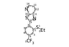 CCSc1cc(C(F)(F)F)ccc1-c1nc2cccnc2s1